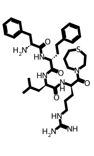 CC(C)C[C@@H](NC(=O)[C@@H](CCc1ccccc1)NC(=O)[C@H](N)Cc1ccccc1)C(=O)N[C@H](CCCNC(=N)N)C(=O)N1CCCSCC1